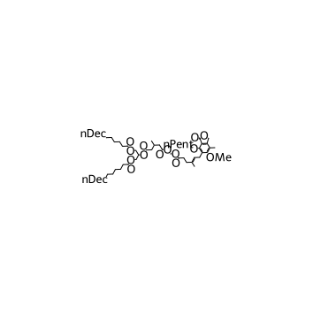 CCCCCCCCCCCCCCCC(=O)OCC(COC(=O)CCCCCCCCCCCCCCC)OC(=O)CC(C)CC(=O)OCOC(=O)CC/C(C)=C/Cc1c(OC)c(C)c2c(c1OCCCCC)C(=O)OC2